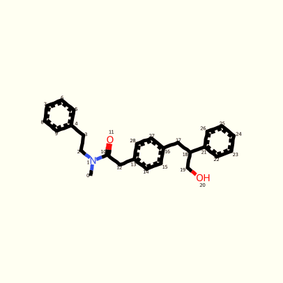 CN(CCc1ccccc1)C(=O)Cc1ccc(CC(CO)c2ccccc2)cc1